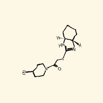 CCC1CCN(C(=O)CSC2=N[C@H]3CCCC[C@@H]3N2)CC1